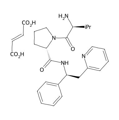 CC(C)[C@H](N)C(=O)N1CCC[C@H]1C(=O)N[C@@H](Cc1ccccn1)c1ccccc1.O=C(O)C=CC(=O)O